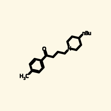 CCCCC1CCN(CCCC(=O)c2ccc(C)cc2)CC1